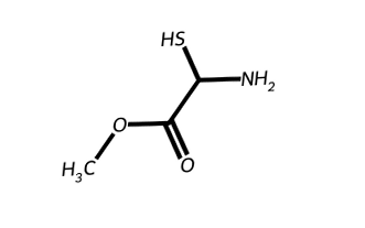 COC(=O)C(N)S